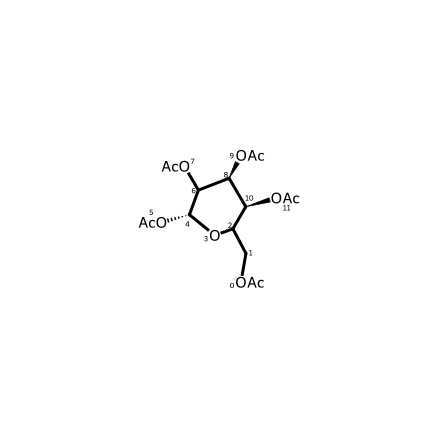 CC(=O)OCC1O[C@H](OC(C)=O)C(OC(C)=O)[C@@H](OC(C)=O)[C@H]1OC(C)=O